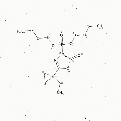 CCOSOP(=O)(OSOCC)n1nc(C2(CC)CC2)oc1=O